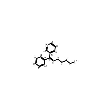 ICCCC/C=C(/c1ccccc1)c1cccnc1